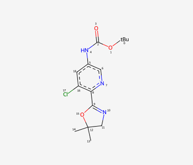 CC(C)(C)OC(=O)Nc1cnc(C2=NCC(C)(C)O2)c(Cl)c1